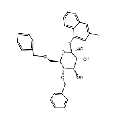 CC[C@@]1(Sc2cc(C)cc3ccccc23)O[C@H](COCc2ccccc2)[C@@H](OCc2ccccc2)[C@H](O)[C@H]1O